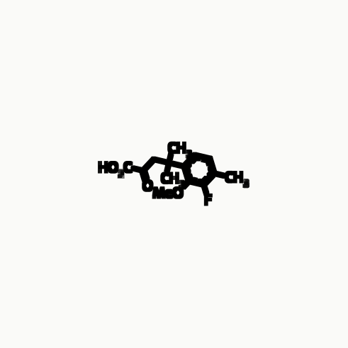 COc1c(C(C)(C)CC(=O)C(=O)O)ccc(C)c1F